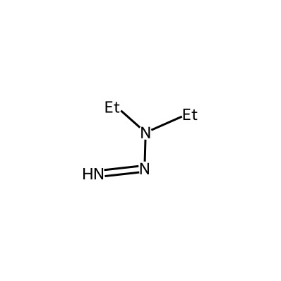 CCN(CC)N=N